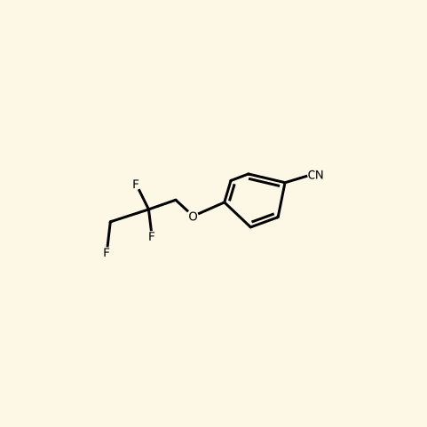 N#Cc1ccc(OCC(F)(F)CF)cc1